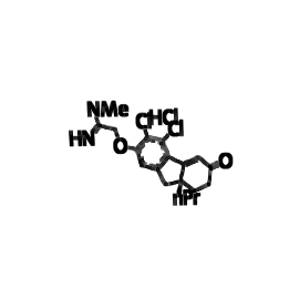 CCC[C@]12CCC(=O)C=C1c1c(cc(OCC(=N)NC)c(Cl)c1Cl)C2.Cl